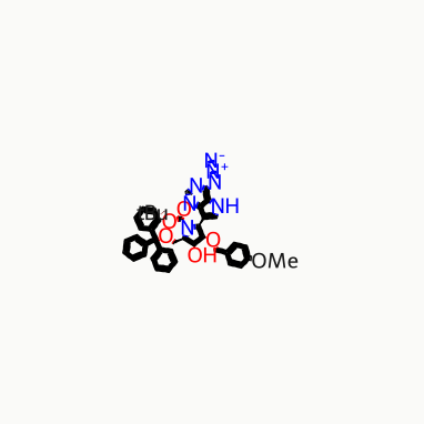 COc1ccc(CO[C@@H]2[C@H](O)[C@@H](COC(c3ccccc3)(c3ccccc3)c3ccccc3)N(C(=O)OC(C)(C)C)[C@H]2c2c[nH]c3c(N=[N+]=[N-])ncnc23)cc1